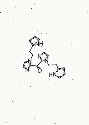 O=C(c1nccn1CCc1ccc[nH]1)c1nccn1CCc1ccc[nH]1